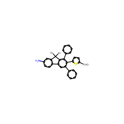 CCC1(CC)c2cc(N)ccc2-c2cc(-c3ccccc3)c(-c3ccc(C=O)s3)c(-c3ccccc3)c21